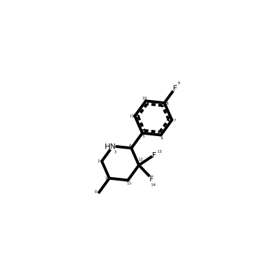 CC1CNC(c2ccc(F)cc2)C(F)(F)C1